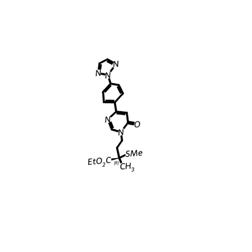 CCOC(=O)[C@@](C)(CCn1cnc(-c2ccc(-n3nccn3)cc2)cc1=O)SC